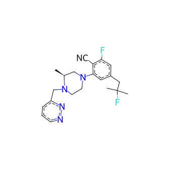 C[C@H]1CN(c2cc(CC(C)(C)F)cc(F)c2C#N)CCN1Cc1cccnn1